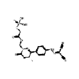 C[C@@H]1CC(=O)N(COC(=O)COP(=O)(O)O)N=C1c1ccc(NN=C(C#N)C#N)cc1